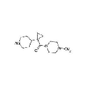 CN1CCN(C(=O)C2(C3CCNCC3)CC2)CC1